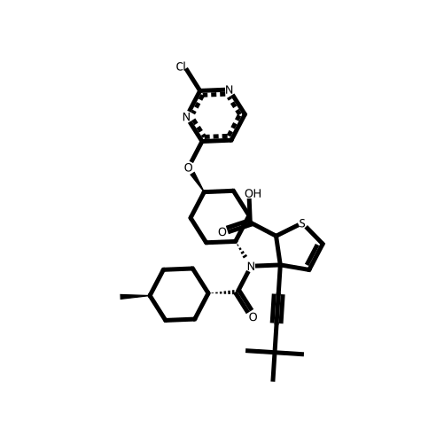 CC(C)(C)C#CC1(N(C(=O)[C@H]2CC[C@H](C)CC2)[C@H]2CC[C@H](Oc3ccnc(Cl)n3)CC2)C=CSC1C(=O)O